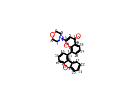 O=c1cc(N2CCOCC2)oc2c(-c3cccc4oc5ccccc5c34)cccc12